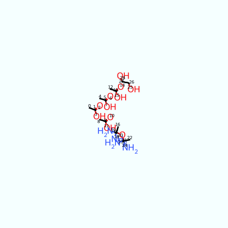 CC(=O)O.CC(=O)O.CC(=O)O.CC(=O)O.CC(N)(N)OC(C)(N)N.OCCO